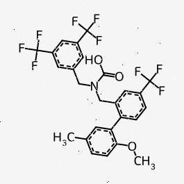 COc1ccc(C)cc1-c1ccc(C(F)(F)F)cc1CN(Cc1cc(C(F)(F)F)cc(C(F)(F)F)c1)C(=O)O